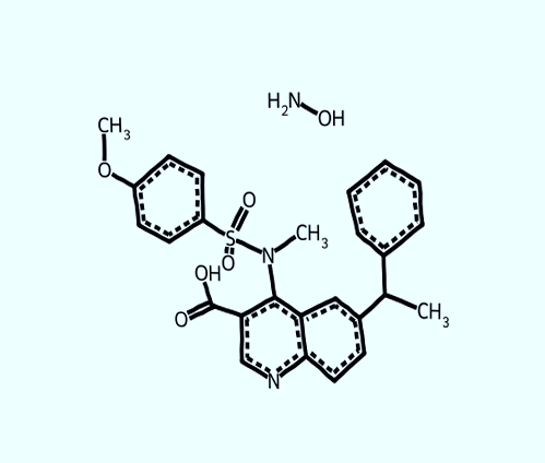 COc1ccc(S(=O)(=O)N(C)c2c(C(=O)O)cnc3ccc(C(C)c4ccccc4)cc23)cc1.NO